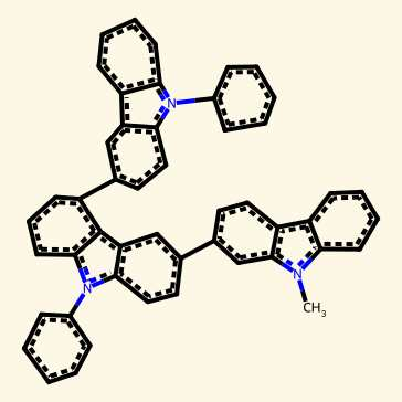 Cn1c2ccccc2c2ccc(-c3ccc4c(c3)c3c(-c5ccc6c(c5)c5ccccc5n6-c5ccccc5)cccc3n4-c3ccccc3)cc21